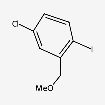 COCc1cc(Cl)ccc1I